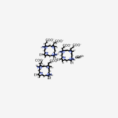 CCC1=C(C)c2cc3[nH]c(cc4nc(cc5[nH]c(cc1n2)c(C)c5CCC(=O)[O-])C(CCC(=O)[O-])=C4C)c(C)c3CC.CCC1=C(C)c2cc3[nH]c(cc4nc(cc5[nH]c(cc1n2)c(C)c5CCC(=O)[O-])C(CCC(=O)[O-])=C4C)c(C)c3CC.CCC1=C(C)c2cc3[nH]c(cc4nc(cc5[nH]c(cc1n2)c(C)c5CCC(=O)[O-])C(CCC(=O)[O-])=C4C)c(C)c3CC.[Gd+3].[Gd+3]